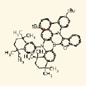 CC(C)(C)c1ccc(N2c3cc(C(C)(C)C)cc4c3B(c3ccc5c(c3N4c3ccc4c(c3)C(C)(C)CCC4(C)C)C(C)(C)CCC5(C)C)c3oc4ccccc4c32)c(-c2ccccc2)c1